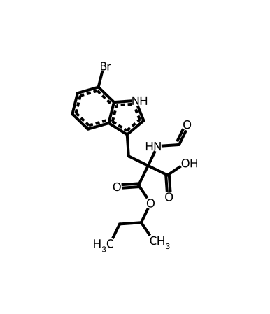 CCC(C)OC(=O)C(Cc1c[nH]c2c(Br)cccc12)(NC=O)C(=O)O